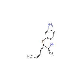 C=C1Nc2ccc(N)cc2S/C1=C/C=C\C